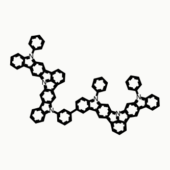 c1ccc(-n2c3ccccc3c3cc4c(cc32)c2cccc3c5cc6c(cc5n4c23)c2ccccc2n6-c2cccc(-c3ccc4c(c3)c3cc5c6cccc7c8cc9c%10ccccc%10n(-c%10ccccc%10)c9cc8n(c5cc3n4-c3ccccc3)c76)c2)cc1